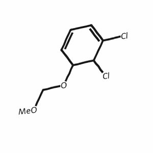 COCOC1C=CC=C(Cl)C1Cl